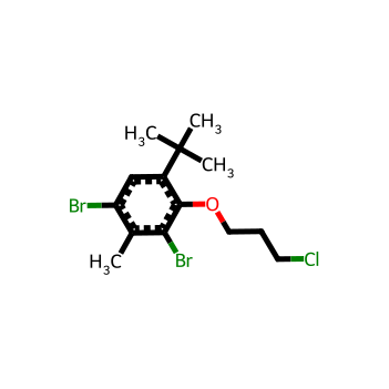 Cc1c(Br)cc(C(C)(C)C)c(OCCCCl)c1Br